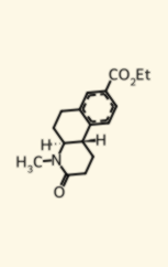 CCOC(=O)c1ccc2c(c1)CC[C@H]1[C@H]2CCC(=O)N1C